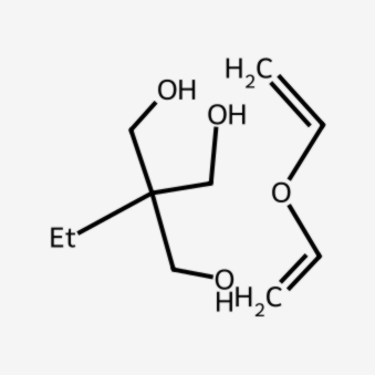 C=COC=C.CCC(CO)(CO)CO